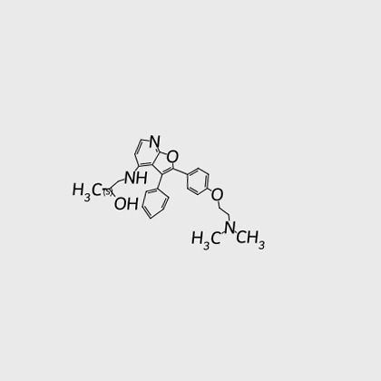 C[C@H](O)CNc1ccnc2oc(-c3ccc(OCCN(C)C)cc3)c(-c3ccccc3)c12